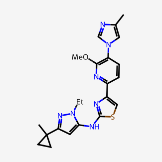 CCn1nc(C2(C)CC2)cc1Nc1nc(-c2ccc(-n3cnc(C)c3)c(OC)n2)cs1